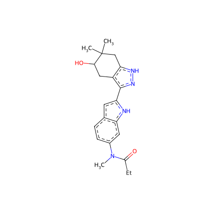 CCC(=O)N(C)c1ccc2cc(-c3n[nH]c4c3CC(O)C(C)(C)C4)[nH]c2c1